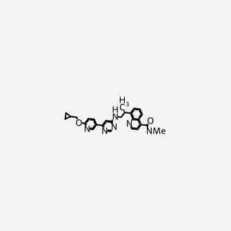 CNC(=O)c1ccnc2c([C@H](C)CNc3cc(-c4ccc(OCC5CC5)nc4)ncn3)cccc12